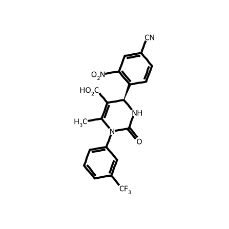 CC1=C(C(=O)O)[C@@H](c2ccc(C#N)cc2[N+](=O)[O-])NC(=O)N1c1cccc(C(F)(F)F)c1